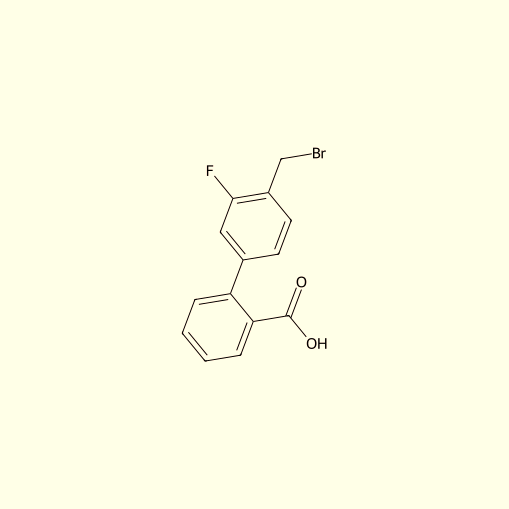 O=C(O)c1ccccc1-c1ccc(CBr)c(F)c1